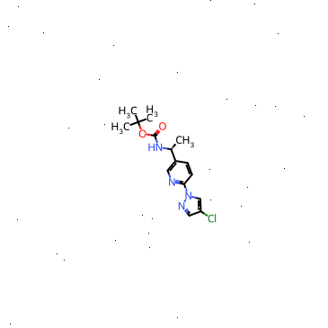 C[C@H](NC(=O)OC(C)(C)C)c1ccc(-n2cc(Cl)cn2)nc1